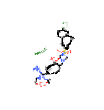 Cl.N=C(c1ccc(CN2CCN(S(=O)(=O)c3ccc4cc(Cl)ccc4c3)CC2=O)cc1)N1CCOCC1